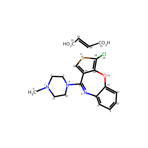 CN1CCN(C2=Nc3ccccc3Oc3c2csc3Cl)CC1.O=C(O)/C=C/C(=O)O